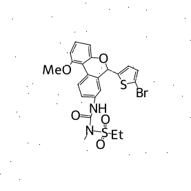 CCS(=O)(=O)N(C)C(=O)Nc1ccc2c(c1)C(c1ccc(Br)s1)Oc1cccc(OC)c1-2